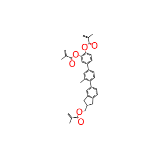 C=C(C)C(=O)OCC1Cc2ccc(-c3ccc(-c4ccc(OC(=O)C(=C)C)c(OC(=O)C(=C)C)c4)cc3C)cc2C1